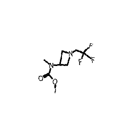 CN(C(=O)OI)C1CN(CC(F)(F)F)C1